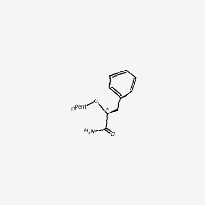 CCCCCO[C@@H](Cc1ccccc1)C(N)=O